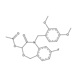 COc1ccc(CN2C(=O)C(OC(C)=O)OCc3ccc(F)cc32)c(OC)c1